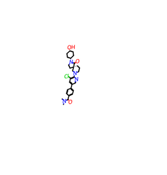 CN(C)C(=O)c1ccc(-c2cnc(N3CCC[C@@]4(CCN([C@H]5CC[C@@H](O)CC5)C4=O)C3)c(Cl)c2)cc1